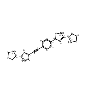 C(#Cc1c[nH]c([C@@H]2CCCN2)n1)c1ccc(C2CNC([C@@H]3CCCN3)=N2)cc1